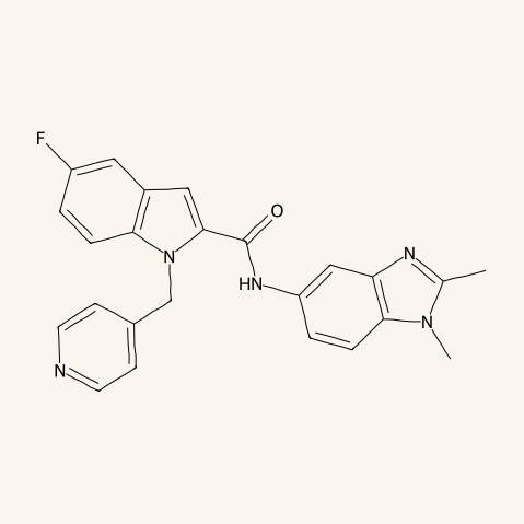 Cc1nc2cc(NC(=O)c3cc4cc(F)ccc4n3Cc3ccncc3)ccc2n1C